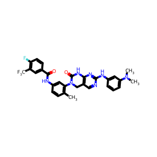 Cc1ccc(NC(=O)c2ccc(F)c(C(F)(F)F)c2)cc1N1Cc2cnc(Nc3cccc(N(C)C)c3)nc2NC1=O